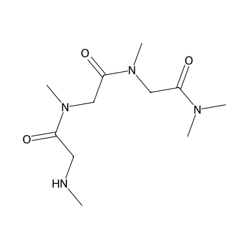 CNCC(=O)N(C)CC(=O)N(C)CC(=O)N(C)C